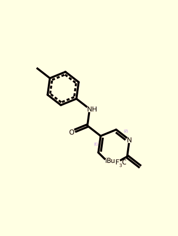 C=C(/N=C\C(=C/C(C)CC)C(=O)Nc1ccc(C)cc1)C(F)(F)F